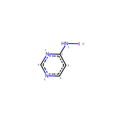 INc1ccncn1